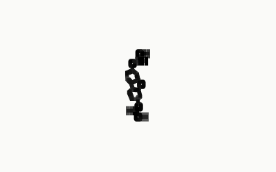 OBOc1ccc2c(c1)oc1cc(OBO)ccc12